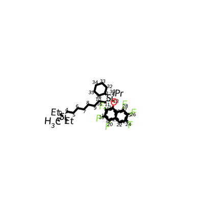 CC[Si](C)(CC)CCCCCCCC[Si](Oc1c(F)c(F)c(F)c2[c]c(F)c(F)c(F)c12)(C(C)C)C1CCCCC1